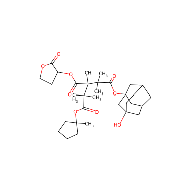 CC1(OC(=O)C(C)(C)C(C)(C(=O)OC2CCOC2=O)C(C)(C)C(=O)OC23CC4CC(CC(O)(C4)C2)C3)CCCC1